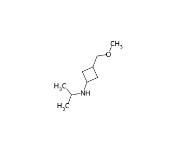 COCC1CC(NC(C)C)C1